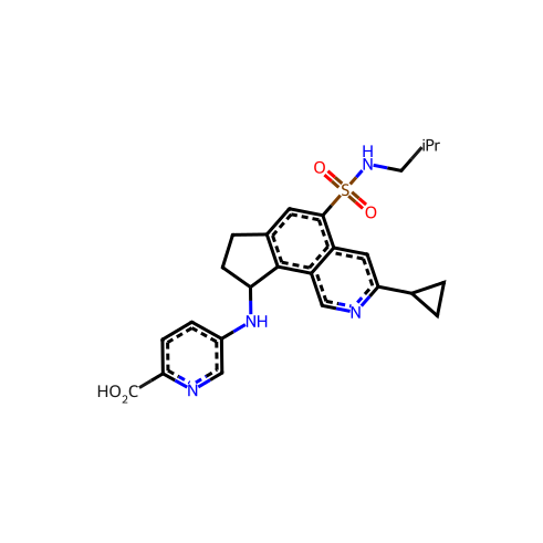 CC(C)CNS(=O)(=O)c1cc2c(c3cnc(C4CC4)cc13)C(Nc1ccc(C(=O)O)nc1)CC2